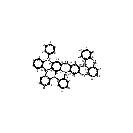 c1ccc(N2c3ccccc3B3c4ccccc4N4c5ccccc5B5c6cc7c(cc6Oc6cc2c3c4c65)B2c3ccccc3Oc3cccc(c32)O7)cc1